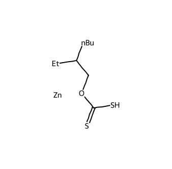 CCCCC(CC)COC(=S)S.[Zn]